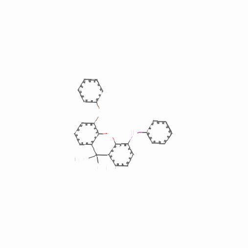 CC1(C)c2cccc(Pc3ccccc3)c2Oc2c(Sc3ccccc3)cccc21